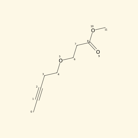 CC#CCCOCCC(=O)OC